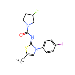 Cc1cn(-c2ccc(I)cc2)c(=NC(=O)N2CC[C@@H](F)C2)s1